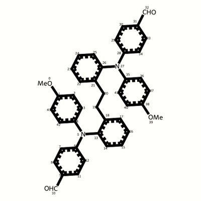 COc1ccc(N(c2ccc(C=O)cc2)c2ccccc2CCc2ccccc2N(c2ccc(C=O)cc2)c2ccc(OC)cc2)cc1